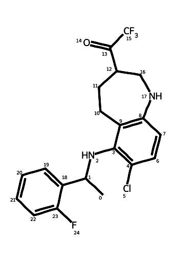 CC(Nc1c(Cl)ccc2c1CCC(C(=O)C(F)(F)F)CN2)c1ccccc1F